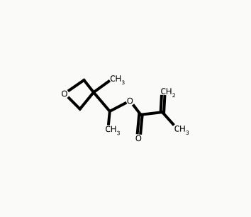 C=C(C)C(=O)OC(C)C1(C)COC1